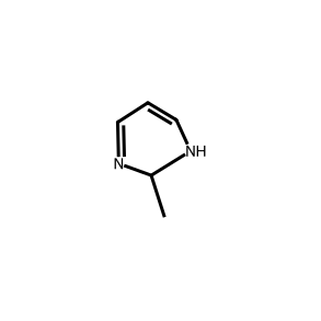 CC1N=CC=CN1